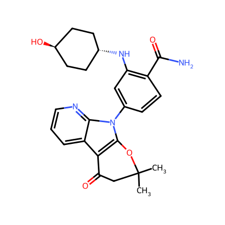 CC1(C)CC(=O)c2c(n(-c3ccc(C(N)=O)c(N[C@H]4CC[C@H](O)CC4)c3)c3ncccc23)O1